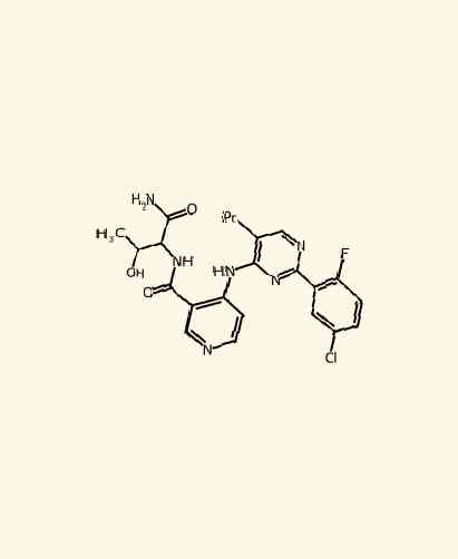 CC(C)c1cnc(-c2cc(Cl)ccc2F)nc1Nc1ccncc1C(=O)NC(C(N)=O)C(C)O